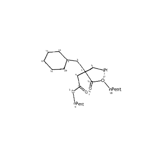 CCCCCOC(=O)CC(CC(C)C)(CC1CCCCC1)C(=O)OCCCCC